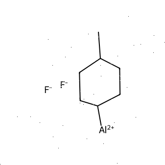 CC1CC[CH]([Al+2])CC1.[F-].[F-]